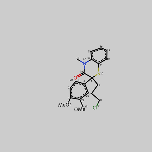 COc1ccc(C2(CCCCl)Sc3ccccc3N(C)C2=O)cc1OC